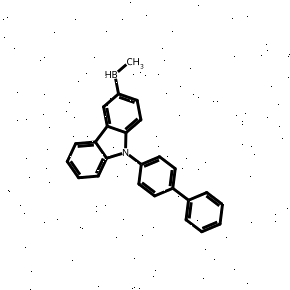 CBc1ccc2c(c1)c1ccccc1n2-c1ccc(-c2ccccc2)cc1